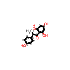 CC(C(=O)c1c(O)cc(O)cc1O)c1ccc(O)cc1